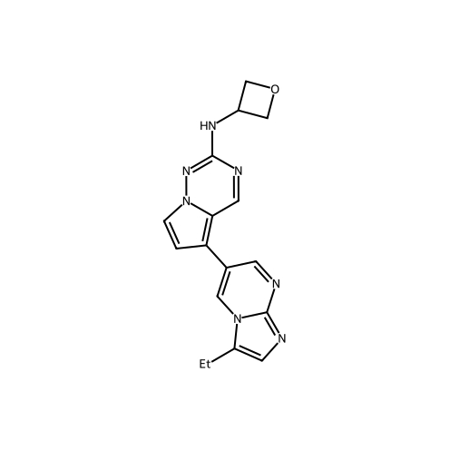 CCc1cnc2ncc(-c3ccn4nc(NC5COC5)ncc34)cn12